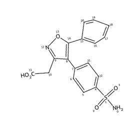 NS(=O)(=O)c1ccc(-c2c(CC(=O)O)noc2-c2ccccc2)cc1